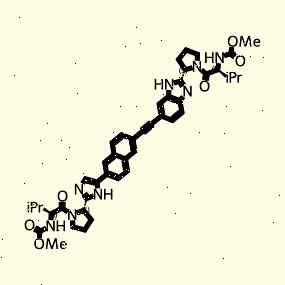 COC(=O)N[C@H](C(=O)N1CCC[C@H]1c1ncc(-c2ccc3cc(C#Cc4ccc5nc([C@@H]6CCCN6C(=O)[C@@H](NC(=O)OC)C(C)C)[nH]c5c4)ccc3c2)[nH]1)C(C)C